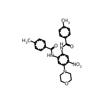 Cc1ccc(C(=O)Nc2cc(N3CCOCC3)c([N+](=O)[O-])cc2NC(=O)c2ccc(C)cc2)cc1